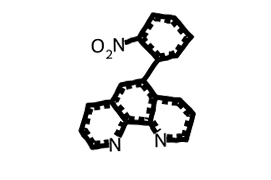 O=[N+]([O-])c1ccccc1-c1cc2cccnc2c2ncccc12